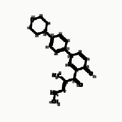 CN/C=C(\C)C(=O)c1nn(-c2ccc(N3CCOCC3)cc2)ccc1=O